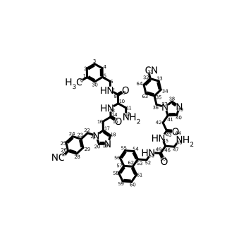 Cc1cccc(CNC(=O)C(CN)NC(=O)Cc2cncn2Cc2ccc(C#N)cc2)c1.N#Cc1ccc(Cn2cncc2CC(=O)NC(CN)C(=O)NCc2cccc3ccccc23)cc1